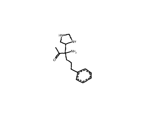 CC(=O)C(N)(CCCc1ccccc1)C1CNCN1